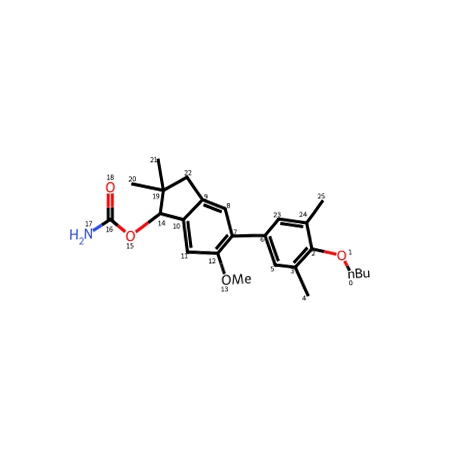 CCCCOc1c(C)cc(-c2cc3c(cc2OC)C(OC(N)=O)C(C)(C)C3)cc1C